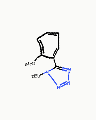 COc1ccccc1-c1nnnn1C(C)(C)C